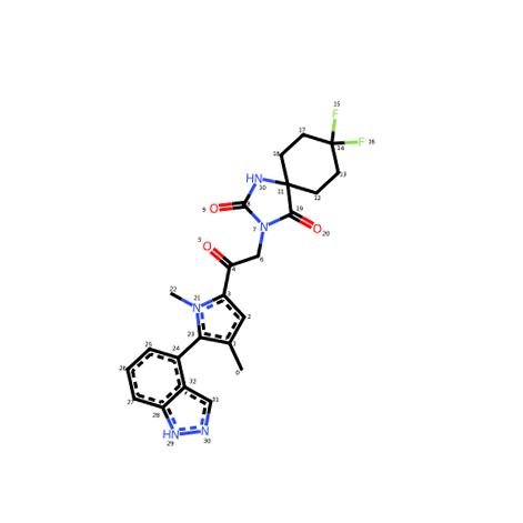 Cc1cc(C(=O)CN2C(=O)NC3(CCC(F)(F)CC3)C2=O)n(C)c1-c1cccc2[nH]ncc12